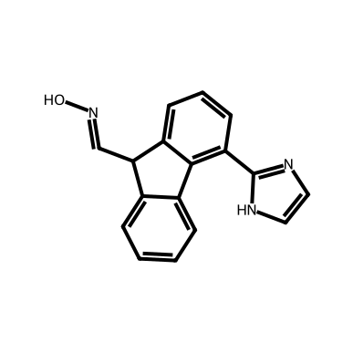 ON=CC1c2ccccc2-c2c(-c3ncc[nH]3)cccc21